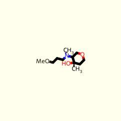 COCCCN(C)C1COCC[C@]1(C)O